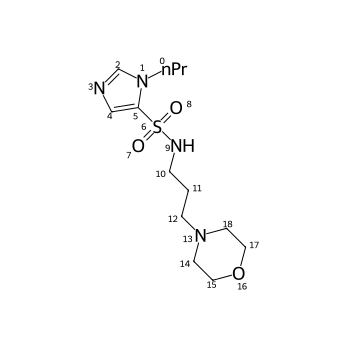 CCCn1cncc1S(=O)(=O)NCCCN1CCOCC1